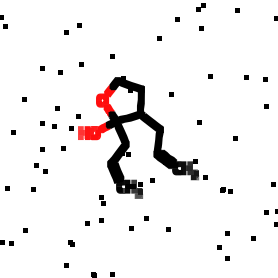 C=CCC1CCOC1(O)CC=C